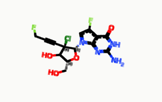 Nc1nc2c(c(F)cn2[C@@H]2O[C@H](CO)C(O)[C@]2(Cl)C#CCF)c(=O)[nH]1